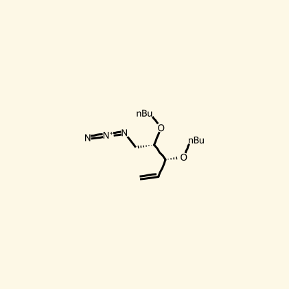 C=C[C@@H](OCCCC)[C@H](CN=[N+]=[N-])OCCCC